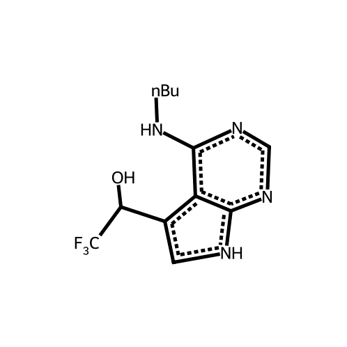 CCCCNc1ncnc2[nH]cc(C(O)C(F)(F)F)c12